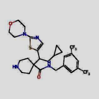 O=C(NCc1cc(C(F)(F)F)cc(C(F)(F)F)c1)C1(C(CC2CC2)c2cnc(N3CCOCC3)s2)CCNCC1